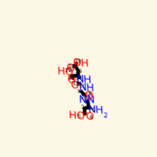 N[C@@H](CC(=O)O)c1noc(CNC(=O)NC(CC(=O)O)C(=O)O)n1